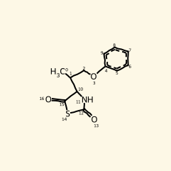 CC(COc1ccccc1)C1NC(=O)SC1=O